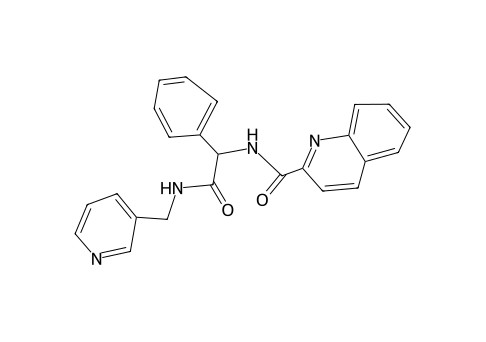 O=C(NC(C(=O)NCc1cccnc1)c1ccccc1)c1ccc2ccccc2n1